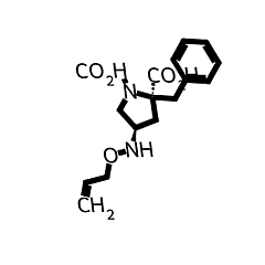 C=CCON[C@H]1CN(C(=O)O)[C@](Cc2ccccc2)(C(=O)O)C1